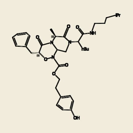 CCCCC(C(=O)NCCCC(C)C)N1CC2N(C(=O)OCCc3ccc(O)cc3)O[C@H](Cc3ccccc3)C(=O)N2[C@@H](C)C1=O